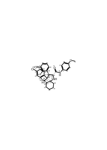 CSc1ccc(NC(=O)[C@@H]2NC3(CCCCC3)[C@@]3(C(=O)Nc4cc(Cl)ccc43)[C@H]2c2cccc(Cl)c2F)cc1